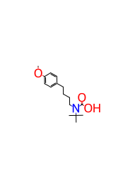 COc1ccc(CCCCN(C(=O)O)C(C)(C)C)cc1